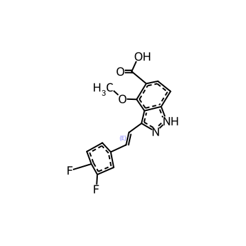 COc1c(C(=O)O)ccc2[nH]nc(/C=C/c3ccc(F)c(F)c3)c12